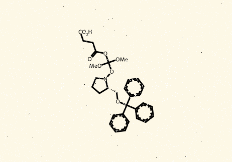 COC(OC)(OC(=O)CCC(=O)O)ON1CCC[C@H]1COC(c1ccccc1)(c1ccccc1)c1ccccc1